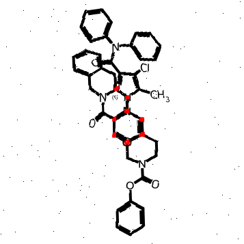 Cc1c(Cl)c(C(=O)N(c2ccccc2)c2ccccc2)nn1-c1cc2c(cc1C(=O)N1Cc3ccccc3C[C@H]1CN1CCOCC1)CN(C(=O)Oc1ccccc1)CC2